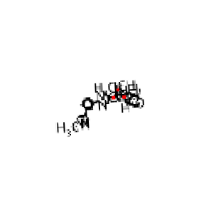 CN(C)C(=O)C1C[C@H]2COC[C@@H](C1)C2n1cc(-c2cnc(-c3cccc(-c4cnn(C)c4)c3)nc2)cn1